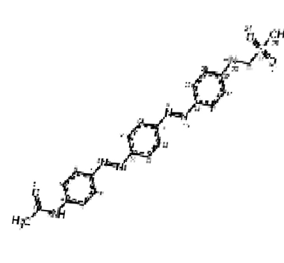 CC(=O)Nc1ccc(N=Nc2ccc(N=Nc3ccc(NCS(=O)(=O)O)cc3)cc2)cc1